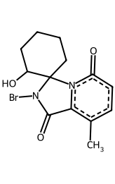 Cc1ccc(=O)n2c1C(=O)N(Br)C21CCCCC1O